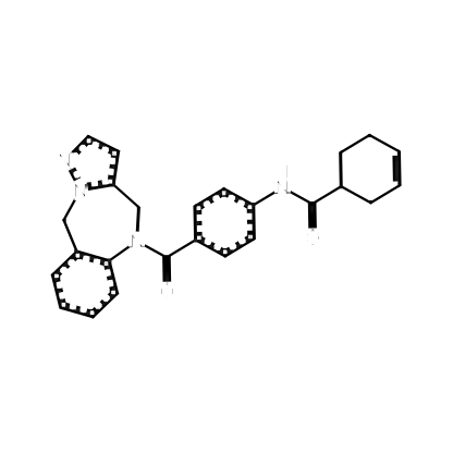 O=C(Nc1ccc(C(=O)N2Cc3ccnn3Cc3ccccc32)cc1)C1CC=CCC1